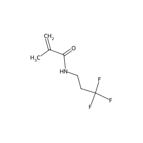 C=C(C)C(=O)NCCC(F)(F)F